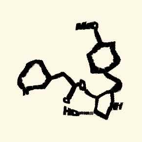 COc1ccc(C[C@H]2NC[C@H](O)[C@H]2OC(=O)Cc2cccnc2)cc1